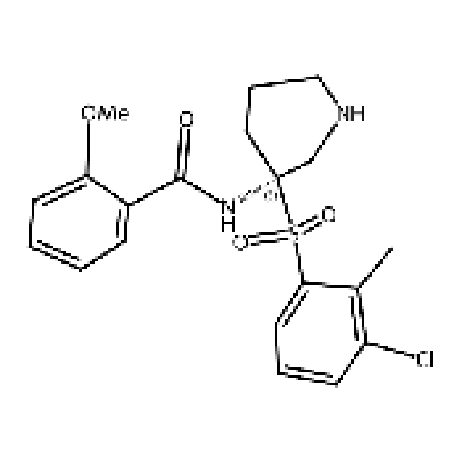 COc1ccccc1C(=O)N[C@]1(S(=O)(=O)c2cccc(Cl)c2C)CCCNC1